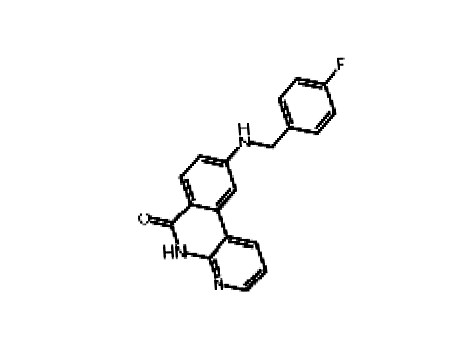 O=c1[nH]c2ncccc2c2cc(NCc3ccc(F)cc3)ccc12